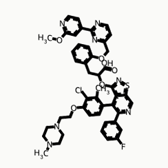 COc1cc(-c2nccc(COc3ccccc3CC(Oc3nsc4cnc(-c5cccc(F)c5)c(-c5ccc(OCCN6CCN(C)CC6)c(Cl)c5C)c34)C(=O)O)n2)ccn1